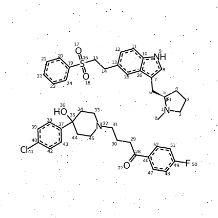 CN1CCC[C@@H]1Cc1c[nH]c2ccc(CCS(=O)(=O)c3ccccc3)cc12.O=C(CCCN1CCC(O)(c2ccc(Cl)cc2)CC1)c1ccc(F)cc1